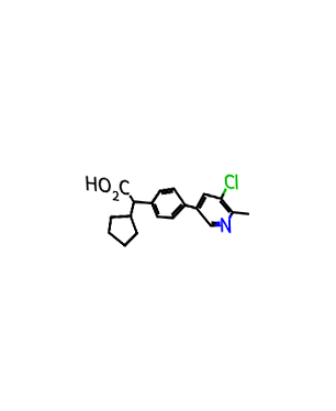 Cc1ncc(-c2ccc(C(C(=O)O)C3CCCC3)cc2)cc1Cl